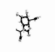 CC(C#N)n1c(Br)nc2c(C#N)c(Br)c(Br)cc21